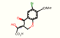 COc1cc2c(cc1Br)C(=O)/C(=C(\O)C(=O)O)CO2